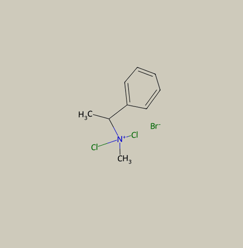 CC(c1ccccc1)[N+](C)(Cl)Cl.[Br-]